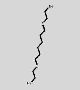 SCCSCCCCCCSCCS